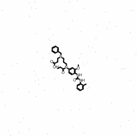 CCC(=O)N(CCCN(CCC(=O)O)Cc1ccccc1)c1ccc(NC(=O)Nc2ccccc2C)c(OC)c1